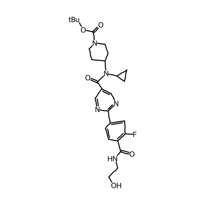 CC(C)(C)OC(=O)N1CCC(N(C(=O)c2cnc(-c3ccc(C(=O)NCCO)c(F)c3)nc2)C2CC2)CC1